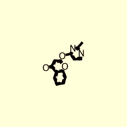 Cc1nccc(Oc2cc(=O)c3ccccc3o2)n1